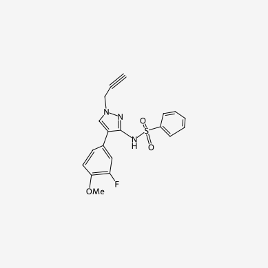 C#CCn1cc(-c2ccc(OC)c(F)c2)c(NS(=O)(=O)c2ccccc2)n1